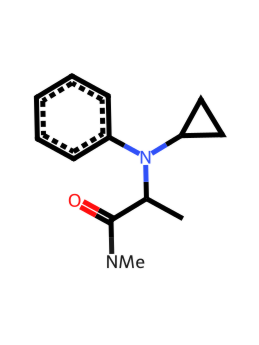 CNC(=O)C(C)N(c1ccccc1)C1CC1